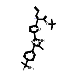 BC(C)(F)c1ccc(-c2nc(-c3ccc(/C(=C/C=C)C(=C)OC(C)(C)C)o3)[nH]c2C)cc1